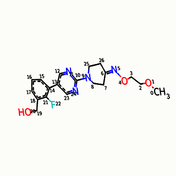 COCCON=C1CCN(c2ncc(-c3cccc(CO)c3F)cn2)CC1